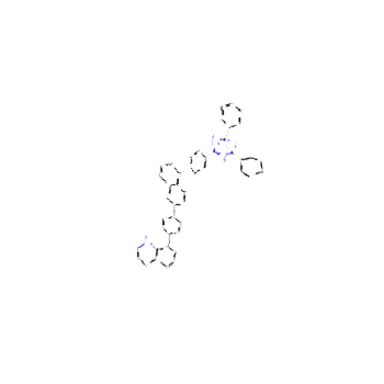 c1ccc(-c2nc(-c3ccccc3)nc(-c3ccc(-c4cccc5cc(-c6ccc(-c7cccc8cccnc78)cc6)ccc45)cc3)n2)cc1